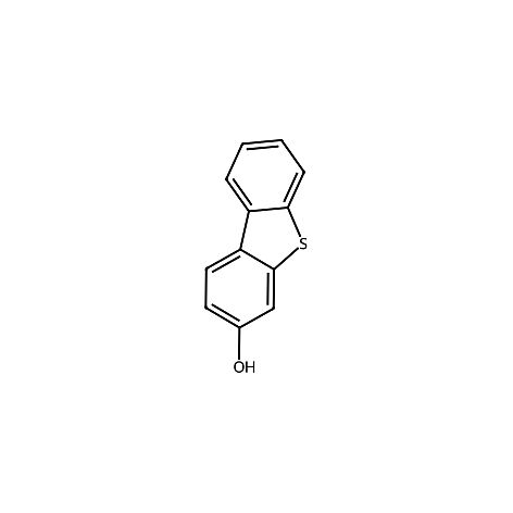 Oc1ccc2c(c1)sc1ccccc12